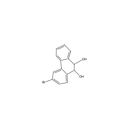 OC1c2ccccc2-c2cc(Br)ccc2C1O